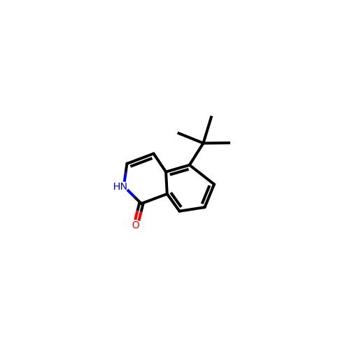 CC(C)(C)c1cccc2c(=O)[nH]ccc12